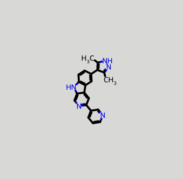 Cc1n[nH]c(C)c1-c1ccc2[nH]c3cnc(-c4cccnc4)cc3c2c1